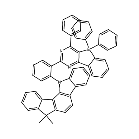 CC1(C)c2ccccc2-c2c1ccc1c3ccccc3n(-c3ccccc3-c3nc(-c4ccccc4)c4c(n3)-c3ccccc3[Si]4(c3ccccc3)c3ccccc3)c21